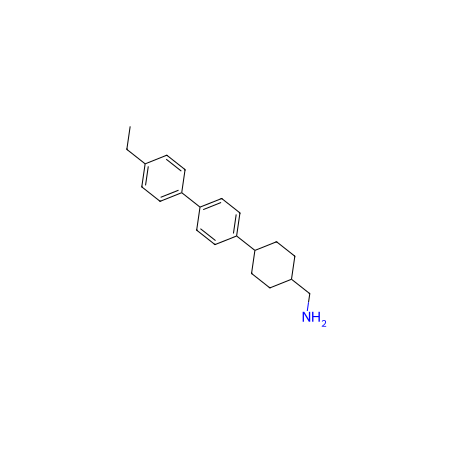 CCc1ccc(-c2ccc(C3CCC(CN)CC3)cc2)cc1